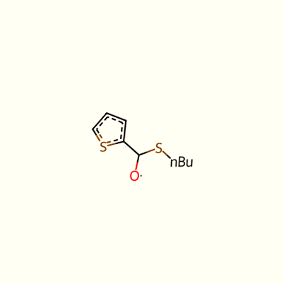 CCCCSC([O])c1cccs1